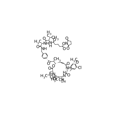 COc1ccc(C[C@H]2NC(=O)C=CC[C@@H]([C@H](C)[C@H]3O[C@@H]3c3ccc(CNC(=O)C(C)NC(=O)C(NC(=O)CCCC(=O)ON4C(=O)CCC4=O)C(C)C)cc3)OC(=O)[C@H](CC(C)C)NC(=O)C(C)(C)C(C3CC3)NC2=O)cc1Cl